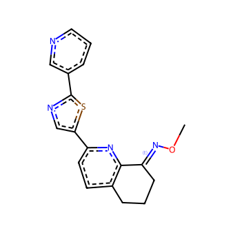 CO/N=C1\CCCc2ccc(-c3cnc(-c4cccnc4)s3)nc21